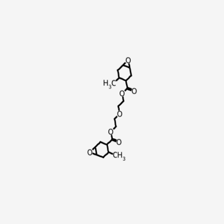 CC1CC2OC2CC1C(=O)OCCOCCOC(=O)C1CC2OC2CC1C